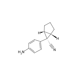 N#C[C@]1(c2ccc(N)cc2)[C@@H]2CCC[C@@H]21